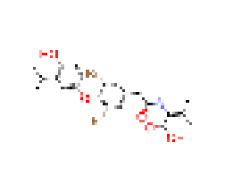 CC(C)=C(NC(=O)Cc1cc(Br)c(Oc2ccc(O)c(C(C)C)c2)c(Br)c1)C(=O)O